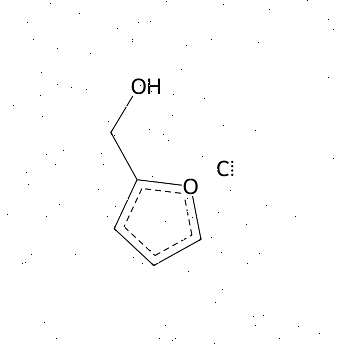 OCc1ccco1.[C]